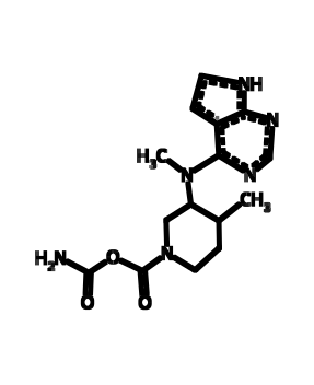 CC1CCN(C(=O)OC(N)=O)CC1N(C)c1ncnc2[nH]ccc12